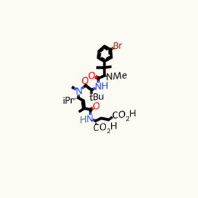 CN[C@H](C(=O)NC(C(=O)N(C)[C@H](/C=C(\C)C(=O)N[C@H](CCC(=O)O)C(=O)O)C(C)C)C(C)(C)C)C(C)(C)c1cccc(Br)c1